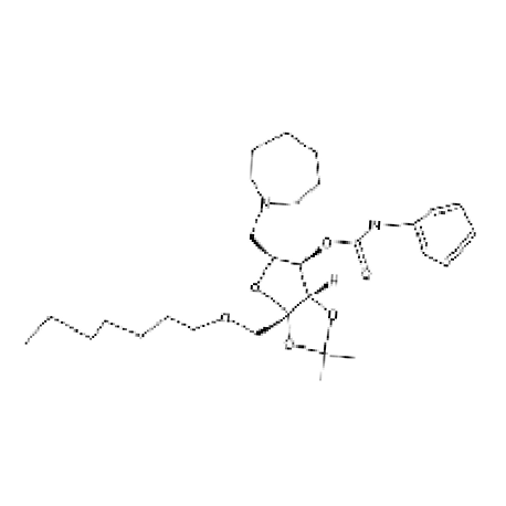 CCCCCCCOC[C@@]12O[C@@H](CN3CCCCCC3)[C@@H](OC(=O)Nc3ccccc3)[C@@H]1OC(C)(C)O2